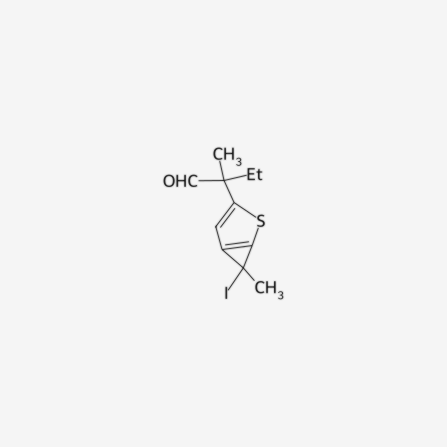 CCC(C)(C=O)c1cc2c(s1)C2(C)I